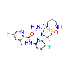 Cc1cc(F)cnc1C(=O)Nc1ccc(F)c(C2(C)C[SH]3(=O)NCCCC3(C)C(N)=N2)n1